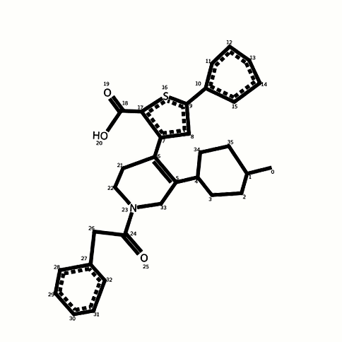 CC1CCC(C2=C(c3cc(-c4ccccc4)sc3C(=O)O)CCN(C(=O)Cc3ccccc3)C2)CC1